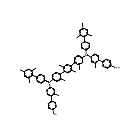 CCCc1ccc(-c2ccc(N(c3ccc(-c4c(C)cc(C)cc4C)cc3)c3ccc(-c4cc(C)c(-c5ccc(N(c6ccc(-c7c(C)cc(C)cc7C)cc6)c6ccc(-c7ccc(CCC)cc7)c(C)c6)cc5C)cc4C)c(C)c3)cc2C)cc1